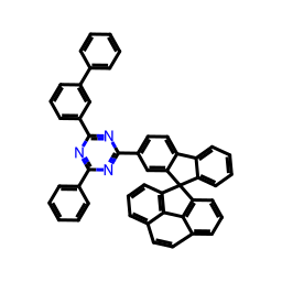 c1ccc(-c2cccc(-c3nc(-c4ccccc4)nc(-c4ccc5c(c4)C4(c6ccccc6-5)c5cccc6ccc7cccc4c7c56)n3)c2)cc1